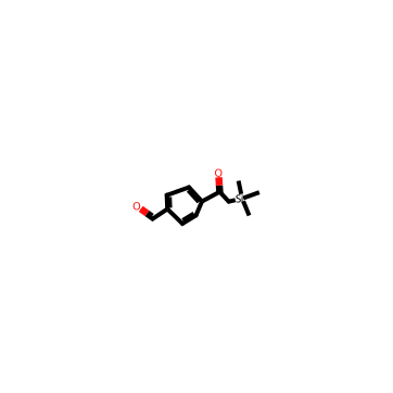 C[Si](C)(C)CC(=O)c1ccc(C=O)cc1